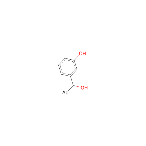 CC(=O)C(O)c1cccc(O)c1